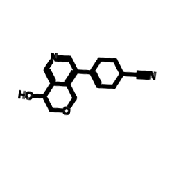 N#CC1CC=C(c2cncc3c2COCC3O)CC1